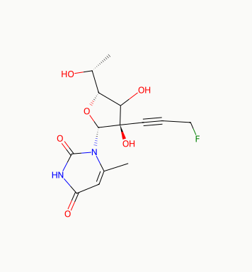 Cc1cc(=O)[nH]c(=O)n1[C@@H]1O[C@H]([C@@H](C)O)C(O)[C@]1(O)C#CCF